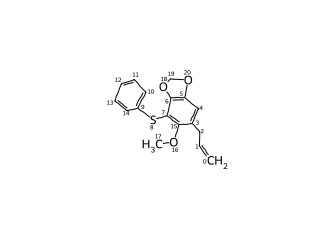 C=CCc1cc2c(c(Sc3ccccc3)c1OC)OCO2